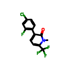 Cn1c(C(F)(F)F)ccc(-c2ccc(Cl)cc2F)c1=O